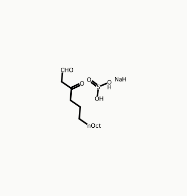 CCCCCCCCCCCC(=O)CC=O.O=S(O)O.[NaH]